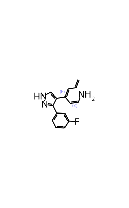 C=C/C=C(\C=C/N)c1c[nH]nc1-c1cccc(F)c1